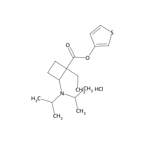 CCC1(C(=O)Oc2ccsc2)CCC1N(C(C)C)C(C)C.Cl